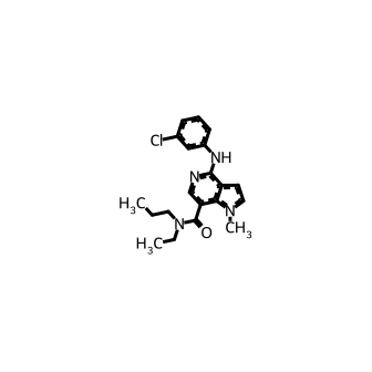 CCCN(CC)C(=O)c1cnc(Nc2cccc(Cl)c2)c2ccn(C)c12